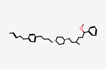 CC=CCCc1ccc(CCCC[C@H]2CC[C@H](CCC(C)CCC(OC)c3ccccc3)CC2)cc1